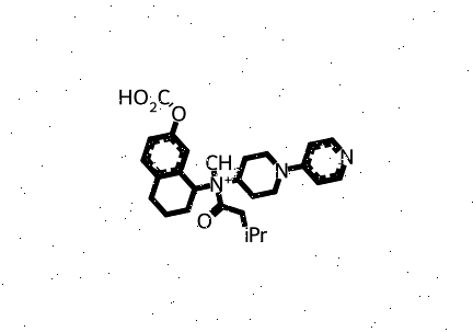 CC(C)CC(=O)[N+](C)(C1CCN(c2ccncc2)CC1)C1CCCc2ccc(OC(=O)O)cc21